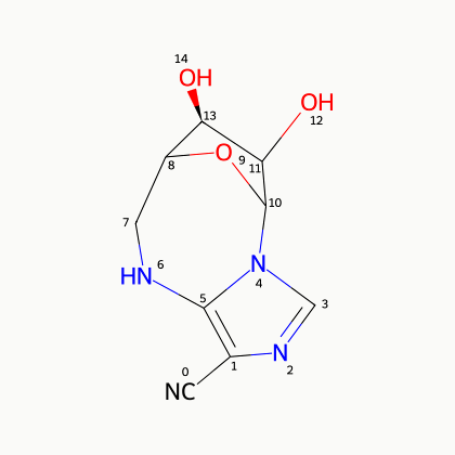 N#Cc1ncn2c1NCC1OC2C(O)[C@@H]1O